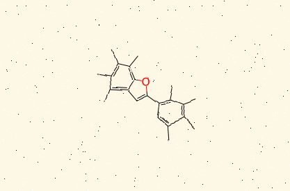 Cc1cc(-c2cc3c(C)c(C)c(C)c(C)c3o2)c(C)c(C)c1C